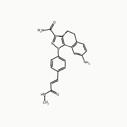 CNC(=O)C=Cc1ccc(-n2nc(C(N)=O)c3c2-c2cc(N)ccc2CC3)cc1